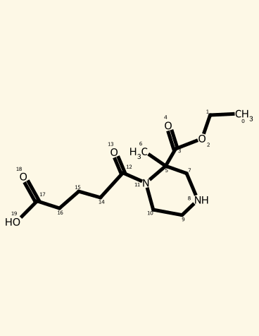 CCOC(=O)C1(C)CNCCN1C(=O)CCCC(=O)O